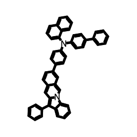 c1ccc(-c2ccc(N(c3ccc(-c4ccc5cc6c(-c7ccccc7)c7ccccc7n6cc5c4)cc3)c3cccc4ccccc34)cc2)cc1